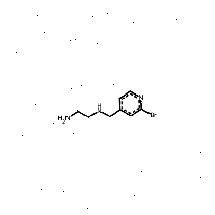 NCCNCc1ccnc(Br)c1